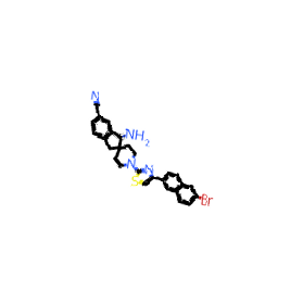 N#Cc1ccc2c(c1)[C@@H](N)C1(CCN(c3nc(-c4ccc5cc(Br)ccc5c4)cs3)CC1)C2